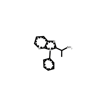 CC(N)c1nc2cccnc2n1-c1ccccc1